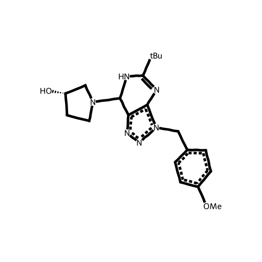 COc1ccc(Cn2nnc3c2N=C(C(C)(C)C)NC3N2CC[C@H](O)C2)cc1